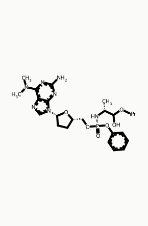 CC(C)OC(O)[C@@H](C)N[P@](=O)(OC[C@@H]1CC[C@H](n2cnc3c(N(C)C)nc(N)nc32)O1)Oc1ccccc1